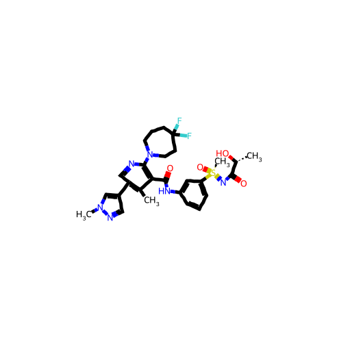 Cc1c(-c2cnn(C)c2)cnc(N2CCCC(F)(F)CC2)c1C(=O)Nc1cccc([S@@](C)(=O)=NC(=O)[C@@H](C)O)c1